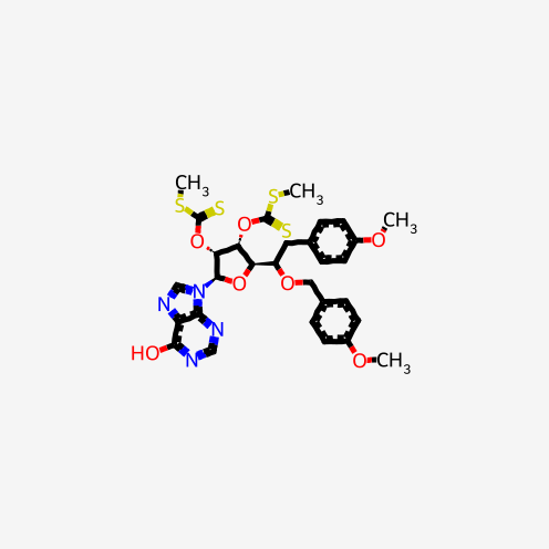 COc1ccc(COC(Cc2ccc(OC)cc2)[C@H]2O[C@@H](n3cnc4c(O)ncnc43)[C@H](OC(=S)SC)[C@@H]2OC(=S)SC)cc1